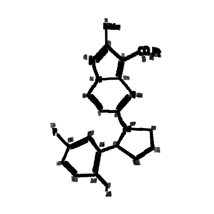 CCOC(=O)c1c(NC)nn2ccc(N3CCCC3c3cc(F)ccc3F)nc12